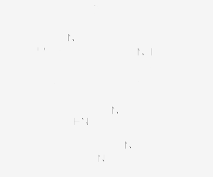 O=C(c1ccc(Nc2nc(-c3cccc4c3CCN4)cn3ccnc23)cc1)N1CCOCC1